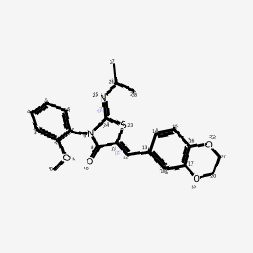 COc1ccccc1N1C(=O)/C(=C/c2ccc3c(c2)OCCO3)S/C1=N\C(C)C